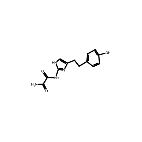 NC(=O)C(=O)Nc1nc([CH]Cc2ccc(O)cc2)c[nH]1